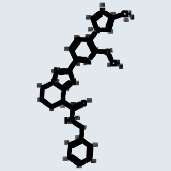 COc1nc(-c2nc3n(n2)CCCC3C(=O)NCc2ccccc2)ccc1-n1cnc(C)c1